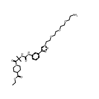 CCOC(=O)C1CCN(C(=O)C(C)(C)NC(=O)Nc2cccc(-c3cn(CCOCCOCCOCCN)nn3)c2)CC1